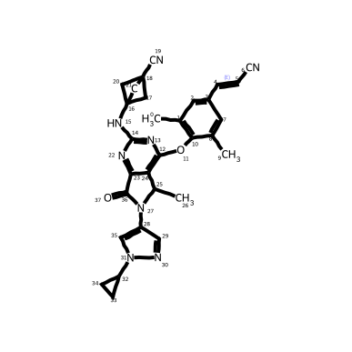 Cc1cc(/C=C/C#N)cc(C)c1Oc1nc(NC23CC(C#N)(C2)C3)nc2c1C(C)N(c1cnn(C3CC3)c1)C2=O